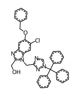 OCc1nc2cc(OCc3ccccc3)c(Cl)cc2n1Cc1ncn(C(c2ccccc2)(c2ccccc2)c2ccccc2)n1